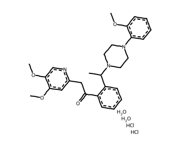 COc1cnc(CC(=O)c2ccccc2C(C)N2CCN(c3ccccc3OC)CC2)cc1OC.Cl.Cl.O.O